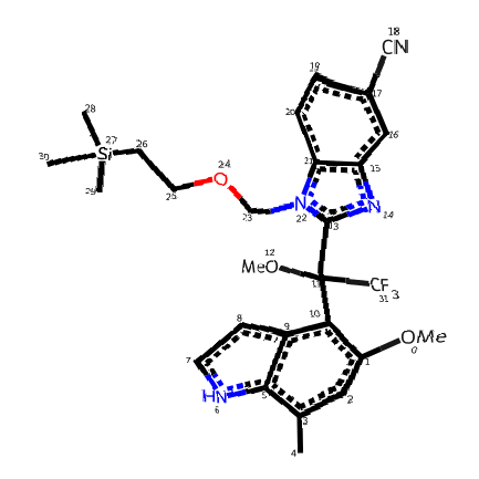 COc1cc(C)c2[nH]ccc2c1C(OC)(c1nc2cc(C#N)ccc2n1COCC[Si](C)(C)C)C(F)(F)F